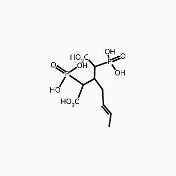 CC=CCC(C(C(=O)O)P(=O)(O)O)C(C(=O)O)P(=O)(O)O